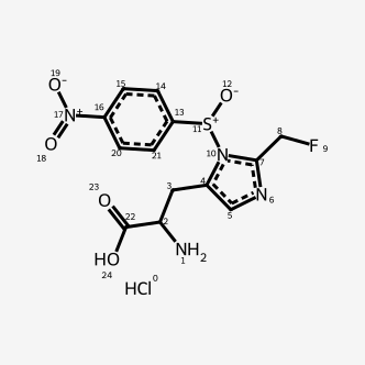 Cl.NC(Cc1cnc(CF)n1[S+]([O-])c1ccc([N+](=O)[O-])cc1)C(=O)O